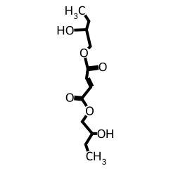 CCC(O)COC(=O)C=CC(=O)OCC(O)CC